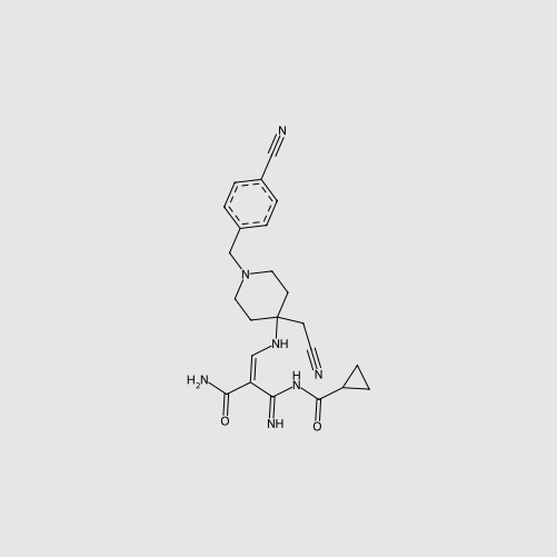 N#CCC1(N/C=C(\C(=N)NC(=O)C2CC2)C(N)=O)CCN(Cc2ccc(C#N)cc2)CC1